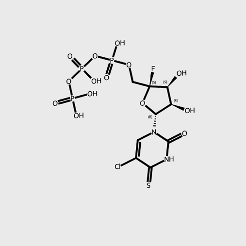 O=c1[nH]c(=S)c(Cl)cn1[C@@H]1O[C@](F)(COP(=O)(O)OP(=O)(O)OP(=O)(O)O)[C@@H](O)[C@H]1O